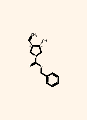 C=C[C@@H]1CN(C(=O)OCc2ccccc2)C[C@H]1O